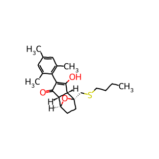 CCCCSC[C@]12CC[C@H](O1)[C@@H]1C(=O)C(c3c(C)cc(C)cc3C)=C(O)[C@@H]12